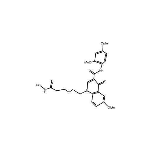 COc1ccc(NC(=O)c2cn(CCCCCC(=O)NO)c3ccc(OC)cc3c2=O)c(OC)c1